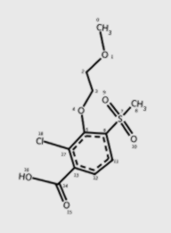 COCCOc1c(S(C)(=O)=O)ccc(C(=O)O)c1Cl